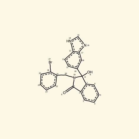 O=C1c2ccccc2C(O)(c2ccc3[nH][c]nc3c2)N1Cc1ccccc1Br